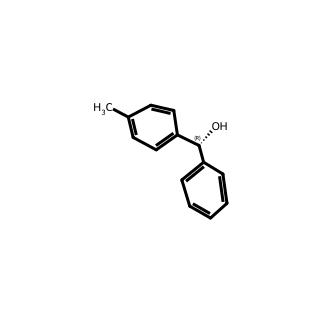 Cc1ccc([C@H](O)c2ccccc2)cc1